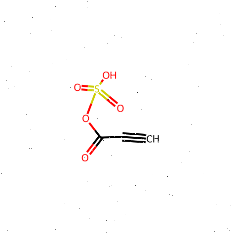 C#CC(=O)OS(=O)(=O)O